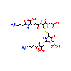 NCCCC(=O)NC(CCC(=O)NC(CSSCC(NC(=O)CCC(NC(=O)CCCN)C(=O)O)C(=O)NCC(=O)O)C(=O)NCC(=O)O)C(=O)O